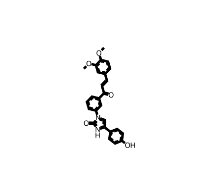 COc1ccc(/C=C/C(=O)c2cccc(-n3cc(-c4ccc(O)cc4)[nH]c3=O)c2)cc1OC